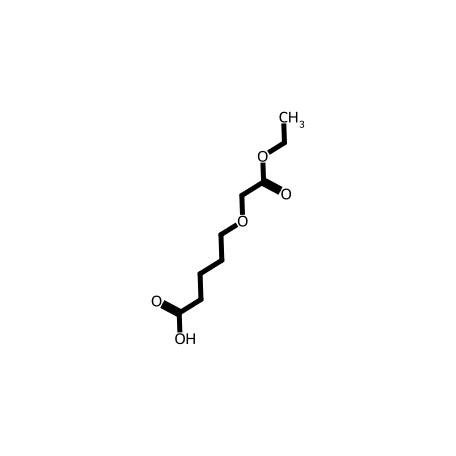 CCOC(=O)COCCCCC(=O)O